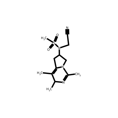 CC1=NC(C)C(C)=C2CC(N(CC#N)S(C)(=O)=O)CN12